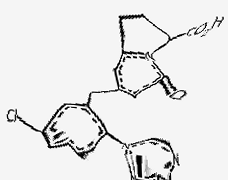 O=C(O)C1CCc2cc(-c3cc(Cl)ccc3-n3cnnn3)cc(=O)n21